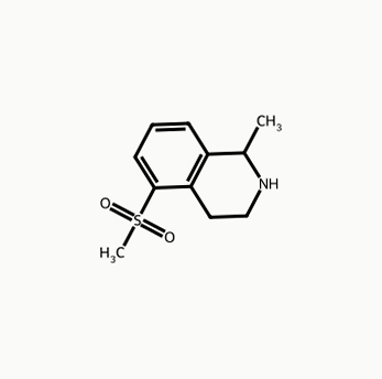 CC1NCCc2c1cccc2S(C)(=O)=O